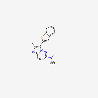 CCCN(C)c1ccc2nc(C)c(-c3cc4ccccc4s3)n2n1